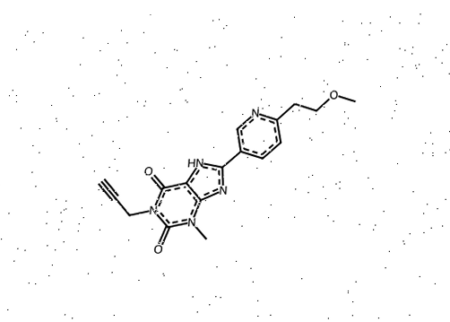 C#CCn1c(=O)c2[nH]c(-c3ccc(CCOC)nc3)nc2n(C)c1=O